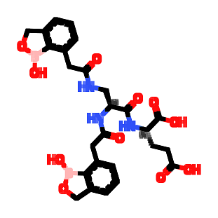 O=C(O)CC[C@H](NC(=O)[C@H](CNC(=O)Cc1cccc2c1B(O)OC2)NC(=O)Cc1cccc2c1B(O)OC2)C(=O)O